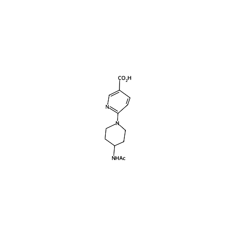 CC(=O)NC1CCN(c2ccc(C(=O)O)cn2)CC1